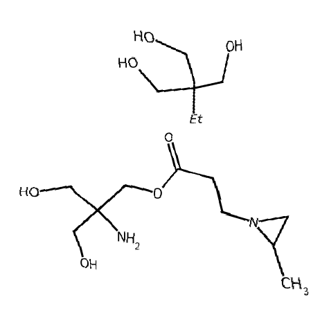 CC1CN1CCC(=O)OCC(N)(CO)CO.CCC(CO)(CO)CO